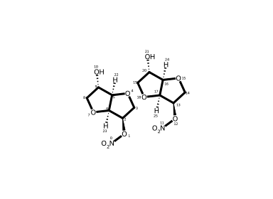 O=[N+]([O-])O[C@@H]1CO[C@H]2[C@@H]1OC[C@@H]2O.O=[N+]([O-])O[C@@H]1CO[C@H]2[C@@H]1OC[C@@H]2O